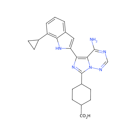 Nc1ncnn2c(C3CCC(C(=O)O)CC3)nc(-c3cc4cccc(C5CC5)c4[nH]3)c12